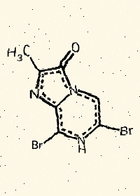 Cc1nc2c(Br)[nH]c(Br)cn-2c1=O